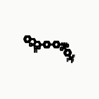 O=C(CC(Cc1ccccc1)C(=O)O)c1ccc(-c2ccc(NS(=O)(=O)c3ccc(C(F)(F)F)cc3)cc2)cc1